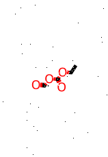 CCOC(=O)O[C]=O